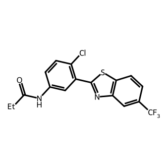 CCC(=O)Nc1ccc(Cl)c(-c2nc3cc(C(F)(F)F)ccc3s2)c1